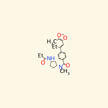 CCC(=O)N[C@H]1CC[C@@H](N(C)C(=O)c2ccc(/C(=C/C3=C(C)OCO3)CC)cc2)C1